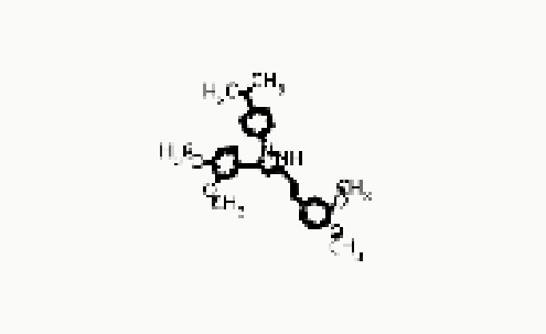 COc1ccc(C=CC2=CC(c3ccc(OC)c(OC)c3)N(c3ccc(C(C)C)cc3)N2)cc1OC